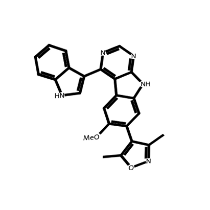 COc1cc2c(cc1-c1c(C)noc1C)[nH]c1ncnc(-c3c[nH]c4ccccc34)c12